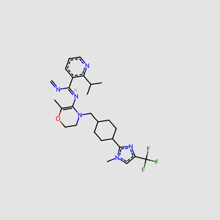 C=N/C(=N\C1=C(C)OCCN1CC1CCC(c2nc(C(F)(F)F)cn2C)CC1)c1cccnc1C(C)C